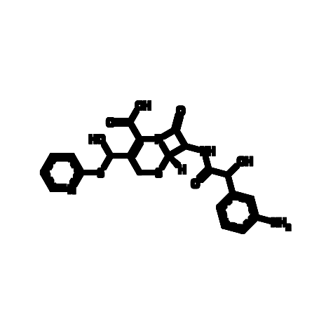 Nc1cccc(C(O)C(=O)NC2C(=O)N3C(C(=O)O)=C(C(O)Sc4ccccn4)CS[C@@H]23)c1